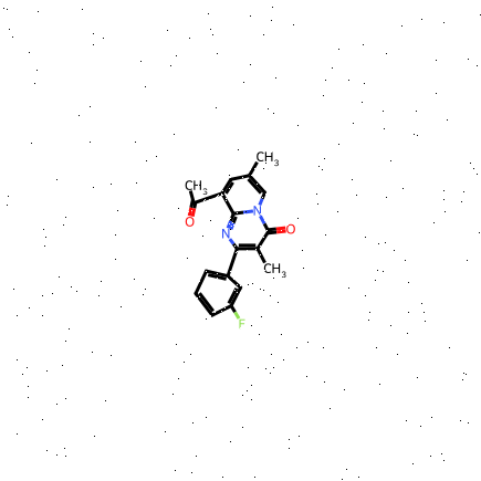 CC(=O)c1cc(C)cn2c(=O)c(C)c(-c3cccc(F)c3)nc12